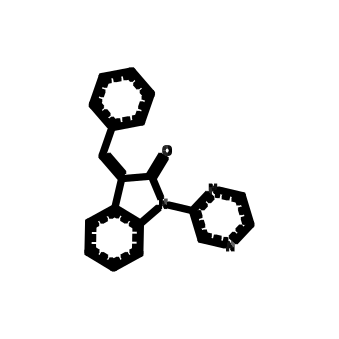 O=C1/C(=C\c2ccccc2)c2ccccc2N1c1cnccn1